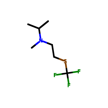 CC(C)N(C)CCSC(F)(F)F